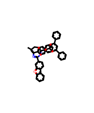 C\C1=C(c2ccc(-c3cc(-c4ccccc4)cc(-c4ccccc4)c3)cc2)/N=C(c2ccc3c(c2)oc2ccccc23)\N=C(\c2ccccc2)CC1